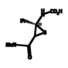 CNC(=O)C1S[C@@]1(NC(=O)O)C(C)C